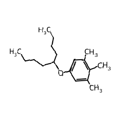 CCCCC(CCCC)Oc1cc(C)c(C)c(C)c1